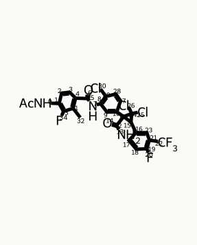 CC(=O)Nc1ccc(C(=O)Nc2cc(C3(C(N)=O)C(c4ccc(F)c(C(F)(F)F)c4)C3(Cl)Cl)ccc2Cl)c(C)c1F